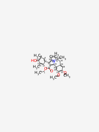 CCOC(=O)c1c(-c2cc(C)c(O)c(C)c2)c(C)n2c1-c1cc(OC)c(OC)cc1CC2(C)C